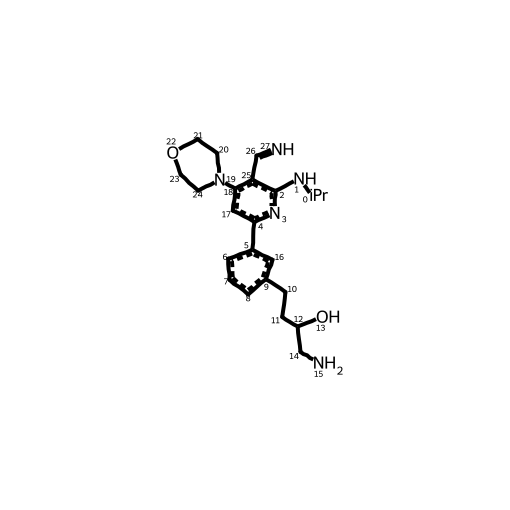 CC(C)Nc1nc(-c2cccc(CCC(O)CN)c2)cc(N2CCOCC2)c1C=N